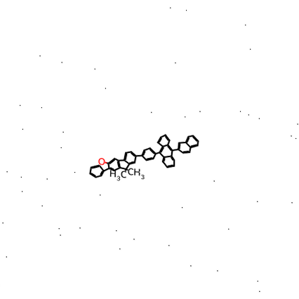 CC1(C)c2cc(-c3ccc(-c4c5ccccc5c(-c5ccc6ccccc6c5)c5ccccc45)cc3)ccc2-c2cc3oc4ccccc4c3cc21